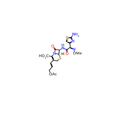 CO/N=C(\C(=O)N[C@@H]1C(=O)N2C(C(=O)O)=C(/C=C/COC(C)=O)CS[C@H]12)c1csc(N)n1